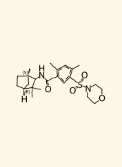 Cc1cc(C)c(S(=O)(=O)N2CCOCC2)cc1C(=O)NC1C(C)(C)[C@@H]2CC[C@@]1(C)C2